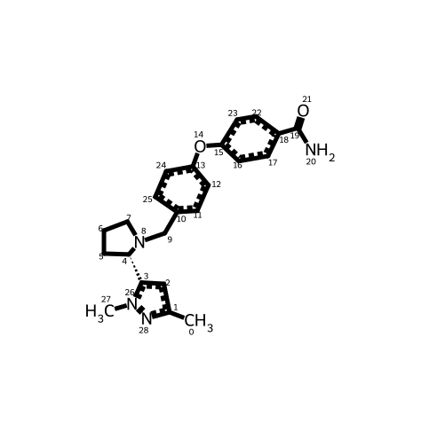 Cc1cc([C@@H]2CCCN2Cc2ccc(Oc3ccc(C(N)=O)cc3)cc2)n(C)n1